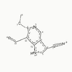 COc1ncc2c(C#N)c[nH]c2c1C=O